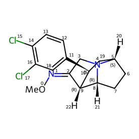 CON=C1CN2[C@H]3CC[C@@H]2[C@H]1[C@@H](c1ccc(Cl)c(Cl)c1)C3